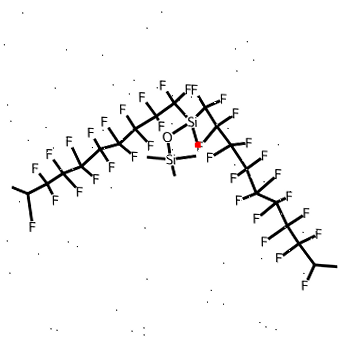 CC(F)C(F)(F)C(F)(F)C(F)(F)C(F)(F)C(F)(F)C(F)(F)C(F)(F)C(F)(F)[Si](C)(O[Si](C)(C)C)C(F)(F)C(F)(F)C(F)(F)C(F)(F)C(F)(F)C(F)(F)C(F)(F)C(F)(F)C(C)F